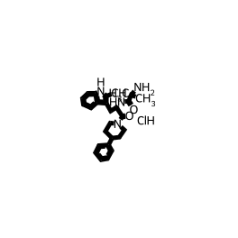 Cc1[nH]c2ccccc2c1CC(NC(=O)C(C)(C)N)C(=O)N1CCC(c2ccccc2)CC1.Cl